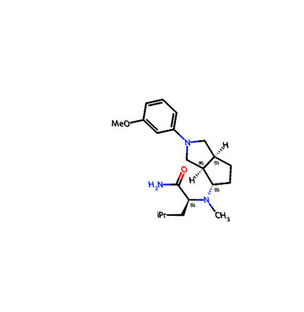 COc1cccc(N2C[C@H]3CC[C@H](N(C)[C@@H](CC(C)C)C(N)=O)[C@H]3C2)c1